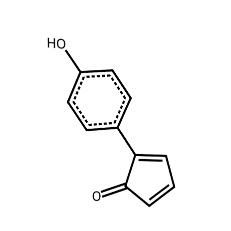 O=C1C=CC=C1c1ccc(O)cc1